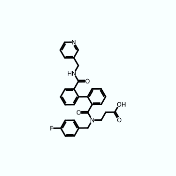 O=C(O)CCN(Cc1ccc(F)cc1)C(=O)c1ccccc1-c1ccccc1C(=O)NCc1cccnc1